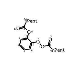 CCCCCC(=O)OOc1ccccc1OC(=O)CCCCC